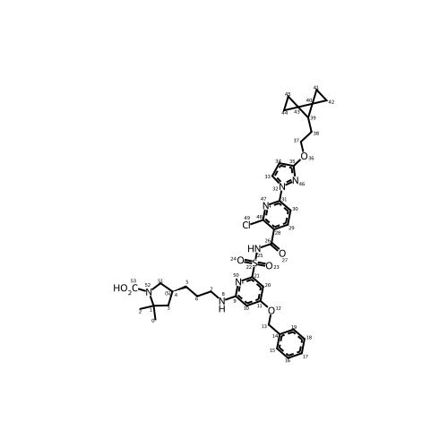 CC1(C)C[C@H](CCCNc2cc(OCc3ccccc3)cc(S(=O)(=O)NC(=O)c3ccc(-n4ccc(OCCC5C6(CC6)C56CC6)n4)nc3Cl)n2)CN1C(=O)O